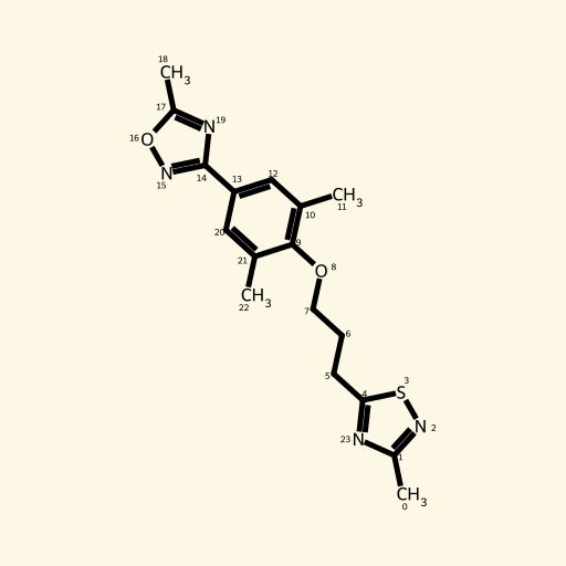 Cc1nsc(CCCOc2c(C)cc(-c3noc(C)n3)cc2C)n1